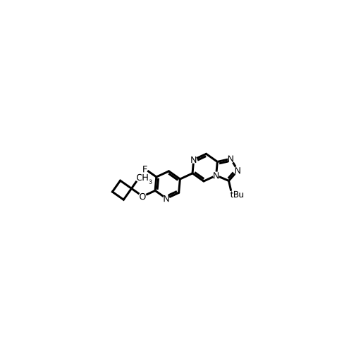 CC1(Oc2ncc(-c3cn4c(C(C)(C)C)nnc4cn3)cc2F)CCC1